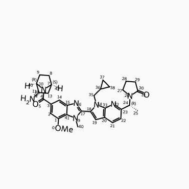 COc1cc(C(=O)N2[C@H]3CC[C@@H]2[C@H](N)C3)cc2nc(-c3cc4ccc([C@@H](C)N5CCCC5=O)nc4n3CC3CC3)n(C)c12